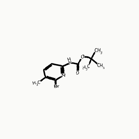 Cc1ccc(NC(=O)OC(C)(C)C)nc1Br